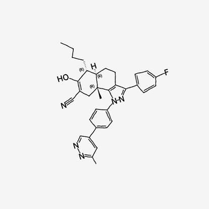 CCCC[C@H]1C(O)=C(C#N)C[C@@]2(C)c3c(c(-c4ccc(F)cc4)nn3-c3ccc(-c4cnnc(C)c4)cc3)CC[C@H]12